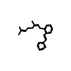 CC(C)=CCCC(C)=CCc1ccccc1C=Cc1ccccc1